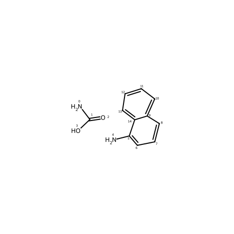 NC(=O)O.Nc1cccc2ccccc12